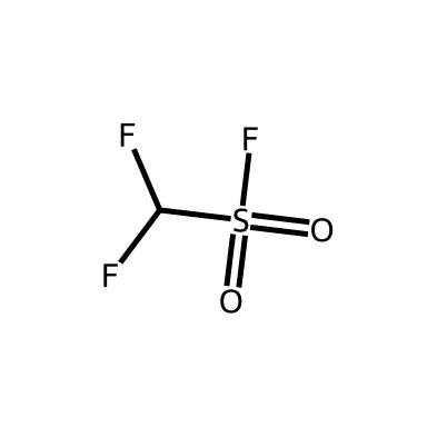 O=S(=O)(F)C(F)F